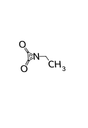 CCn1c(=O)c1=O